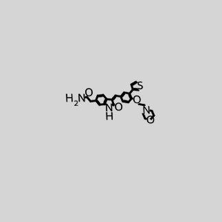 NC(=O)Cc1ccc2c(c1)NC(=O)C2=Cc1ccc(OCCN2CCOCC2)c(-c2ccsc2)c1